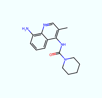 Cc1cnc2c(N)cccc2c1NC(=O)N1CCCCC1